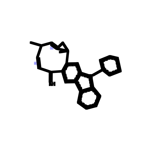 CC1/C=C\C(=N)c2cc3c4ccccc4n(-c4ccccc4)c3cc2C2(C)C/C2=C\1